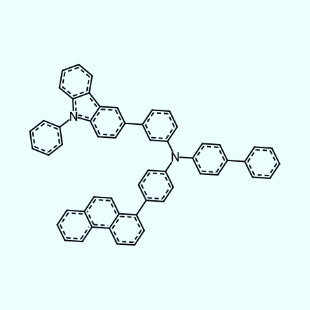 c1ccc(-c2ccc(N(c3ccc(-c4cccc5c4ccc4ccccc45)cc3)c3cccc(-c4ccc5c(c4)c4ccccc4n5-c4ccccc4)c3)cc2)cc1